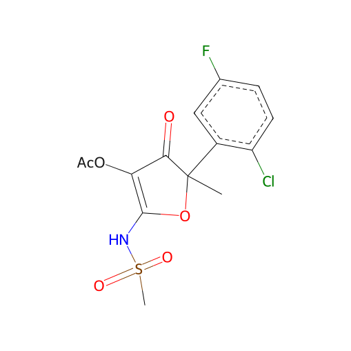 CC(=O)OC1=C(NS(C)(=O)=O)OC(C)(c2cc(F)ccc2Cl)C1=O